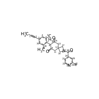 CC#Cc1cc(C)c(C2C(=O)CC3(CC2=O)CN(C(=O)c2ccnc(F)c2)C3)c(C)c1